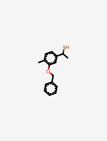 Cc1ccc(C(C)S)cc1OCc1ccccc1